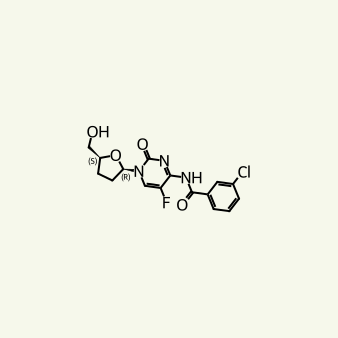 O=C(Nc1nc(=O)n([C@H]2CC[C@@H](CO)O2)cc1F)c1cccc(Cl)c1